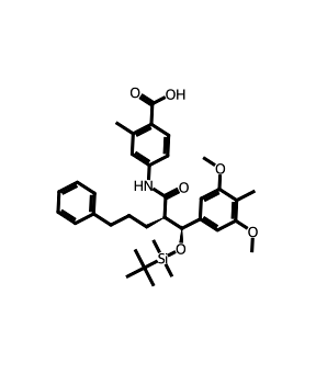 COc1cc([C@@H](O[Si](C)(C)C(C)(C)C)[C@@H](CCCc2ccccc2)C(=O)Nc2ccc(C(=O)O)c(C)c2)cc(OC)c1C